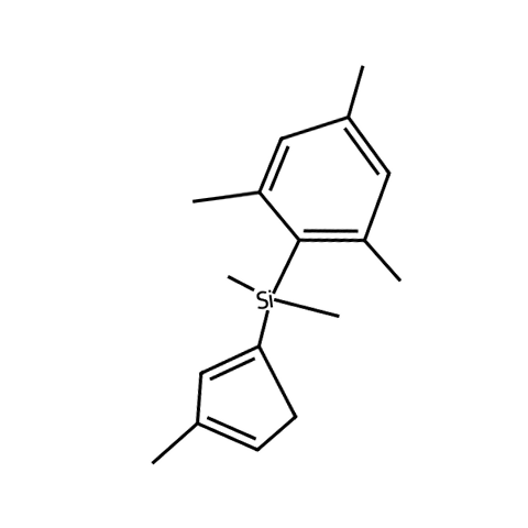 CC1=CCC([Si](C)(C)c2c(C)cc(C)cc2C)=C1